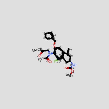 COC(=O)CN(C(=O)C(F)(F)F)c1c(OCc2ccccc2)cc2c(c1F)C[C@H](NC(=O)OC(C)(C)C)C=C2C